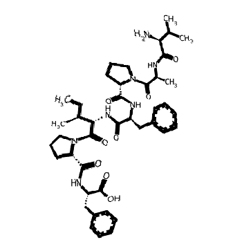 CC[C@H](C)[C@H](NC(=O)[C@H](Cc1ccccc1)NC(=O)[C@@H]1CCCN1C(=O)[C@H](C)NC(=O)[C@@H](N)C(C)C)C(=O)N1CCC[C@H]1C(=O)N[C@@H](Cc1ccccc1)C(=O)O